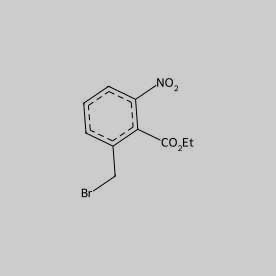 CCOC(=O)c1c(CBr)cccc1[N+](=O)[O-]